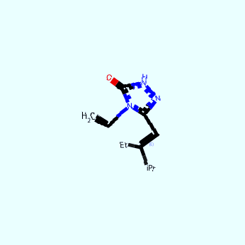 C=Cn1c(/C=C(\CC)C(C)C)n[nH]c1=O